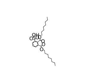 CCCCCCCCOC(=O)c1cccc(S(=O)(=O)O)c1C(=O)OCCCCCCCC